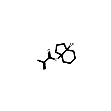 C=C(C)C(=O)OC12CCCCC1(O)CCC2